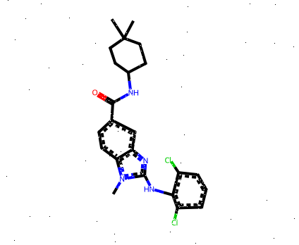 Cn1c(Nc2c(Cl)cccc2Cl)nc2cc(C(=O)NC3CCC(C)(C)CC3)ccc21